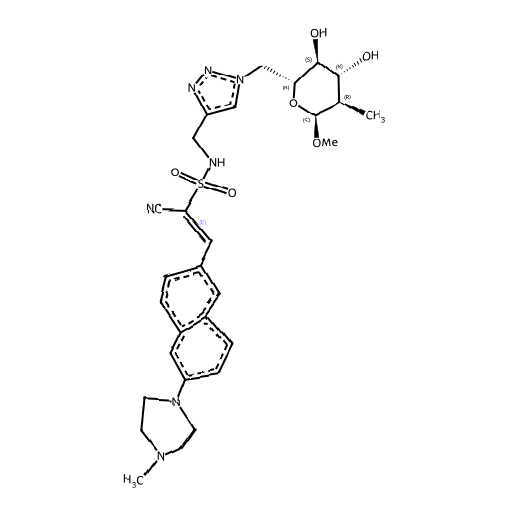 CO[C@H]1O[C@H](Cn2cc(CNS(=O)(=O)/C(C#N)=C/c3ccc4cc(N5CCN(C)CC5)ccc4c3)nn2)[C@@H](O)[C@H](O)[C@H]1C